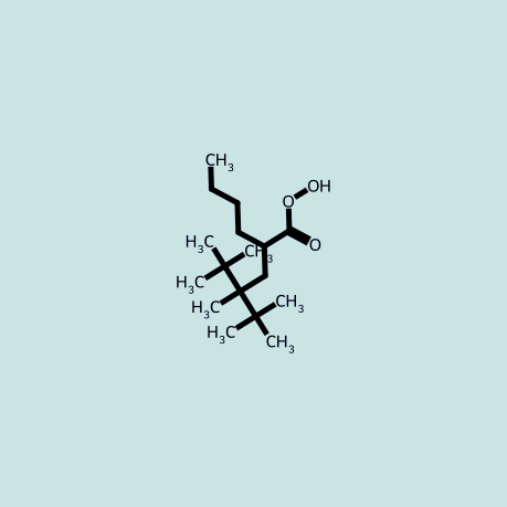 CCCCC(CC(C)(C(C)(C)C)C(C)(C)C)C(=O)OO